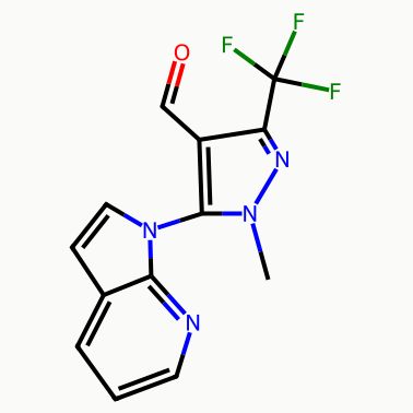 Cn1nc(C(F)(F)F)c(C=O)c1-n1ccc2cccnc21